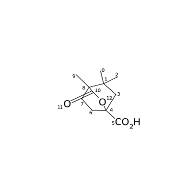 CC1(C)CC2(C(=O)O)CCC1(C)C(=O)O2